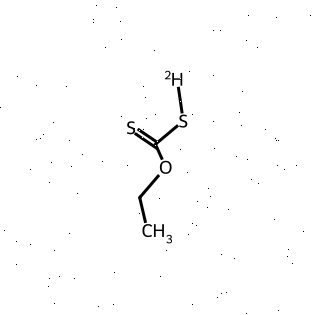 [2H]SC(=S)OCC